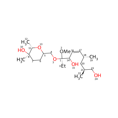 CC[C@@](OC)(OCC1CC[C@@](C)(O)[C@H](C)O1)C(O)/C=C\[C@H](C)C[C@H](C)CO